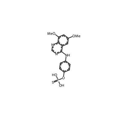 COc1cc(OC)c2ncnc(Nc3ccc(OP(O)(O)=S)cc3)c2c1